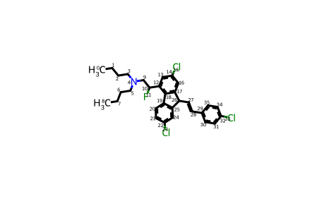 CCCCN(CCCC)CC(F)c1cc(Cl)cc2c1-c1ccc(Cl)cc1C2/C=C/c1ccc(Cl)cc1